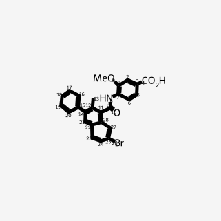 COc1cc(C(=O)O)ccc1NC(=O)c1c(C)c(-c2ccccc2)cc2ccc(Br)cc12